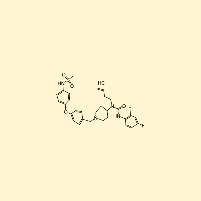 C=CCCN(C(=O)Nc1ccc(F)cc1F)C1CCN(Cc2ccc(Oc3ccc(NS(C)(=O)=O)cc3)cc2)CC1.Cl